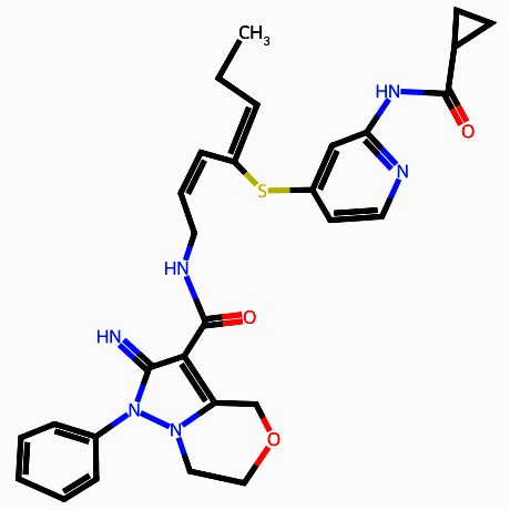 CC/C=C(\C=C/CNC(=O)c1c2n(n(-c3ccccc3)c1=N)CCOC2)Sc1ccnc(NC(=O)C2CC2)c1